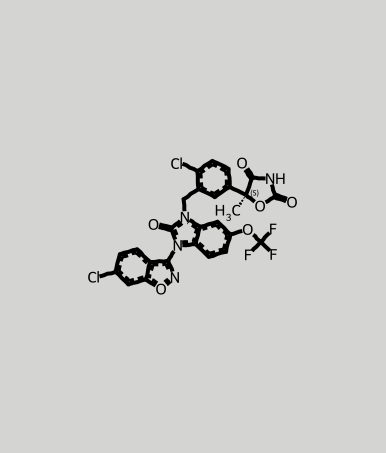 C[C@@]1(c2ccc(Cl)c(Cn3c(=O)n(-c4noc5cc(Cl)ccc45)c4ccc(OC(F)(F)F)cc43)c2)OC(=O)NC1=O